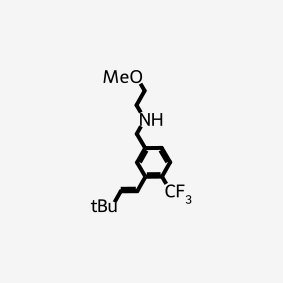 COCCNCc1ccc(C(F)(F)F)c(/C=C/C(C)(C)C)c1